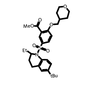 CCC1CCc2cc(C(C)(C)C)ccc2N1S(=O)(=O)c1ccc(OCC2CCOCC2)c(C(=O)OC)c1